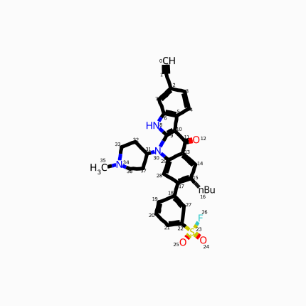 C#Cc1ccc2c(c1)[nH]c1c2c(=O)c2cc(CCCC)c(-c3cccc(S(=O)(=O)F)c3)cc2n1C1CCN(C)CC1